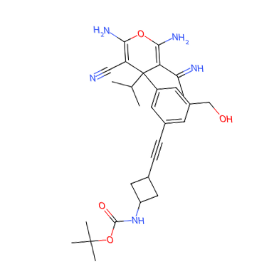 CC(=N)C1=C(N)OC(N)=C(C#N)C1(c1cc(C#CC2CC(NC(=O)OC(C)(C)C)C2)cc(CO)c1)C(C)C